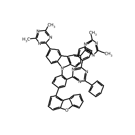 Cc1nc(C)nc(-c2ccc3c(c2)c2cc(-c4nc(C)nc(C)n4)ccc2n3-c2ccc(-c3cccc4oc5ccccc5c34)cc2-c2nc(-c3ccccc3)nc(-c3ccccc3)n2)n1